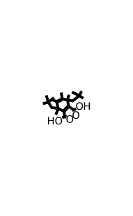 CC1=C(C)C(C)(CC(C)(C)C)C(C(=O)O)=C(C(=O)O)C1(C)CC(C)(C)C